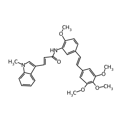 COc1ccc(C=Cc2cc(OC)c(OC)c(OC)c2)cc1NC(=O)/C=C/c1cn(C)c2ccccc12